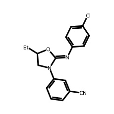 CCC1CN(c2cccc(C#N)c2)C(=Nc2ccc(Cl)cc2)O1